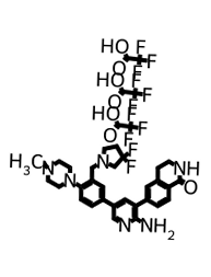 CN1CCN(c2ccc(-c3cnc(N)c(-c4ccc5c(c4)CCNC5=O)c3)cc2CN2CCC(F)(F)C2)CC1.O=C(O)C(F)(F)F.O=C(O)C(F)(F)F.O=C(O)C(F)(F)F